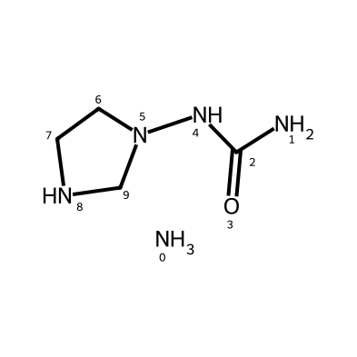 N.NC(=O)NN1CCNC1